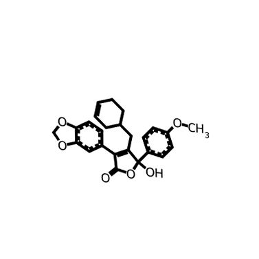 COc1ccc(C2(O)OC(=O)C(c3ccc4c(c3)OCO4)=C2CC2CC=CCC2)cc1